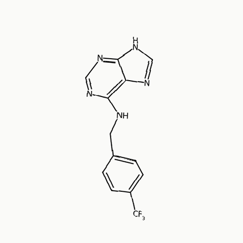 FC(F)(F)c1ccc(CNc2ncnc3[nH]cnc23)cc1